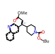 COC(=O)/C=C(\c1cnc2ccccc2c1)C1CCN(C(=O)OC(C)(C)C)CC1